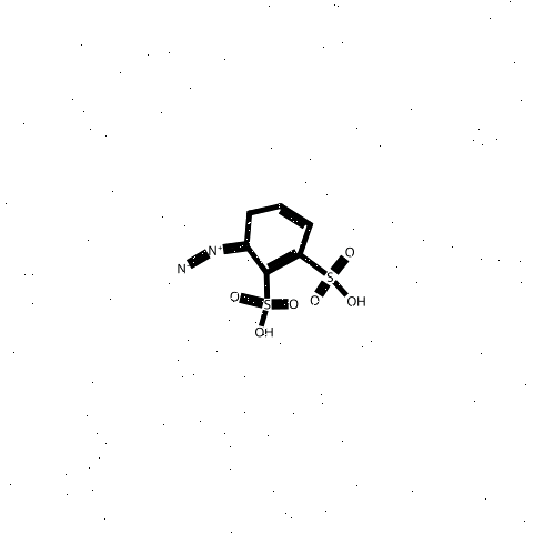 [N-]=[N+]=C1CC=CC(S(=O)(=O)O)=C1S(=O)(=O)O